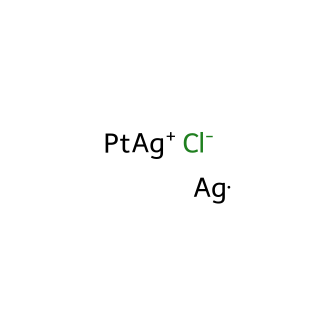 [Ag+].[Ag].[Cl-].[Pt]